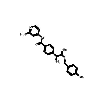 CCCCC(OCc1ccc(N)cc1)C(N)c1ccc(C(=O)Nc2ccnc(N)c2)cc1